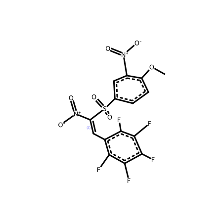 COc1ccc(S(=O)(=O)/C(=C\c2c(F)c(F)c(F)c(F)c2F)[N+](=O)[O-])cc1[N+](=O)[O-]